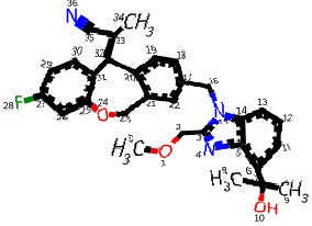 COCc1nc2c(C(C)(C)O)cccc2n1Cc1ccc2c(c1)COc1cc(F)ccc1/C2=C(/C)C#N